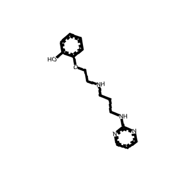 Oc1ccccc1OCCNCCCNc1ncccn1